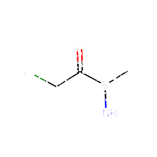 CB(N)C(=O)CCl